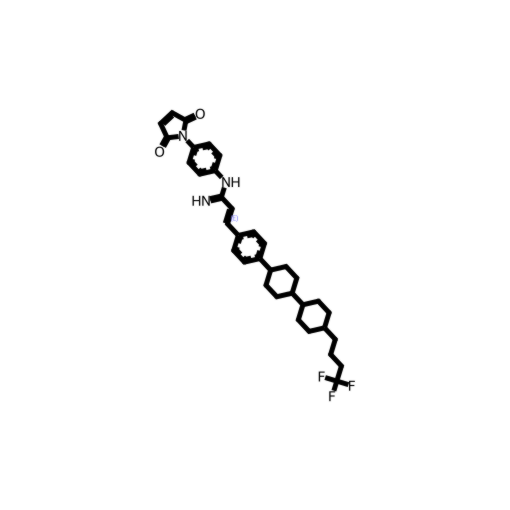 N=C(/C=C/c1ccc(C2CCC(C3CCC(CCCC(F)(F)F)CC3)CC2)cc1)Nc1ccc(N2C(=O)C=CC2=O)cc1